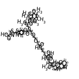 CC1=C(C)C(=O)C(C(C)(C)CC(=O)N(C)CCN(CCOCCOCCC(=O)NCCCCC(NC(=O)CC[C@@H](C)[C@H]2CCC3[C@@H]4CC[C@@H]5CCCC[C@]5(C)C4CC[C@@]32C)C(=O)O)C(=O)Oc2ccc3nc(C4=NC(C(=O)O)CS4)sc3c2)=C(C)C1=O